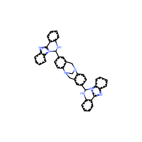 c1ccc2c(c1)NC(c1ccc3c(c1)CN1CN3Cc3cc(C4Nc5ccccc5-c5nc6ccccc6n54)ccc31)n1c-2nc2ccccc21